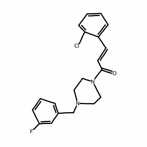 O=C(C=Cc1ccccc1Cl)N1CCN(Cc2cccc(F)c2)CC1